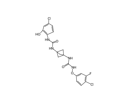 O=C(NOc1ccc(Cl)c(F)c1)NC12CC(NC(=O)Nc3ccc(Cl)cc3O)(C1)C2